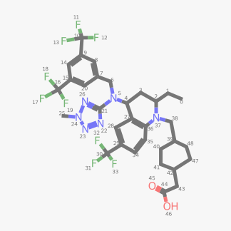 CCC1CC(N(Cc2cc(C(F)(F)F)cc(C(F)(F)F)c2)c2nnn(C)n2)c2cc(C(F)(F)F)ccc2N1CC1CCC(CC(=O)O)CC1